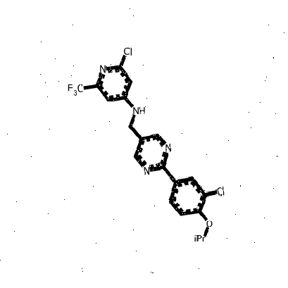 CC(C)Oc1ccc(-c2ncc(CNc3cc(Cl)nc(C(F)(F)F)c3)cn2)cc1Cl